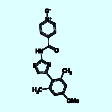 COc1cc(C)c(-c2csc(NC(=O)c3cc[n+]([O-])cc3)n2)c(C)c1